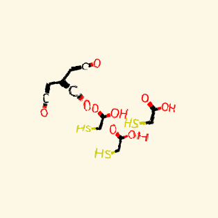 O=C(O)CS.O=C(O)CS.O=C(O)CS.O=C=CC(=C=O)C=C=O